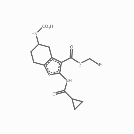 CC(C)CNC(=O)c1c(NC(=O)C2CC2)sc2c1CC(NC(=O)O)CC2